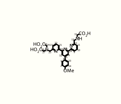 COc1ccc(-c2cc(-c3cccc(CNCC(=O)O)n3)nc(-c3cccc(CN(CC(=O)O)CC(=O)O)n3)c2)cc1